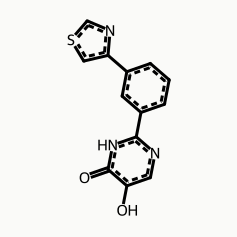 O=c1[nH]c(-c2cccc(-c3cscn3)c2)ncc1O